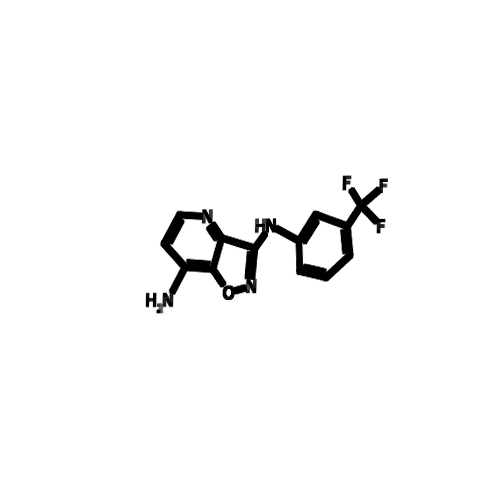 Nc1ccnc2c(Nc3cccc(C(F)(F)F)c3)noc12